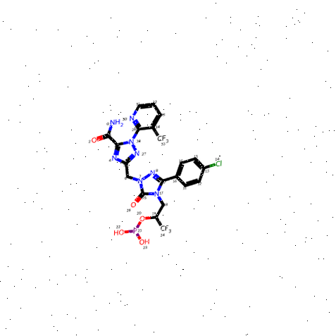 NC(=O)c1nc(Cn2nc(-c3ccc(Cl)cc3)n(CC(OP(O)O)C(F)(F)F)c2=O)nn1-c1ncccc1C(F)(F)F